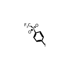 O=S(=O)(c1ccc(I)cc1)C(F)(F)F